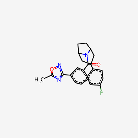 Cc1nc(-c2cccc(C(=O)N3C4CCC3CC(c3ccc(F)cc3)C4)c2)no1